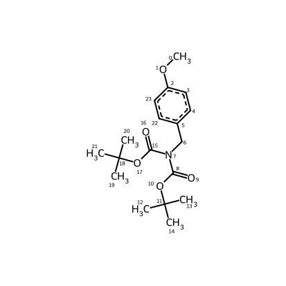 COc1ccc(CN(C(=O)OC(C)(C)C)C(=O)OC(C)(C)C)cc1